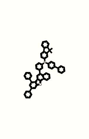 CC1(C)c2ccccc2-c2ccc(N(c3ccc(-c4ccccc4)cc3)c3cccc(-c4cc5c(oc6cc(-c7ccccc7)cc(-c7ccccc7)c65)c5ccccc45)c3)cc21